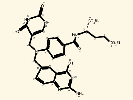 CCOC(=O)CC[C@H](NC(=O)c1ccc(N(Cc2ccc3nc(N)nc(O)c3c2)Cc2c[nH]c(=O)[nH]c2=O)cc1)C(=O)OCC